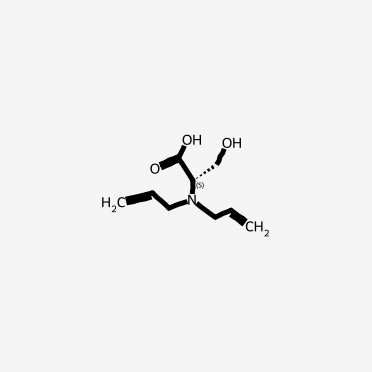 C=CCN(CC=C)[C@@H](CO)C(=O)O